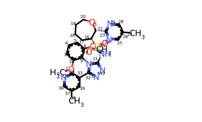 COc1cccc(OC)c1-n1c(NS(=O)(=O)[C@H]2CCCCO[C@@H]2c2ncc(C)cn2)nnc1-c1cncc(C)c1